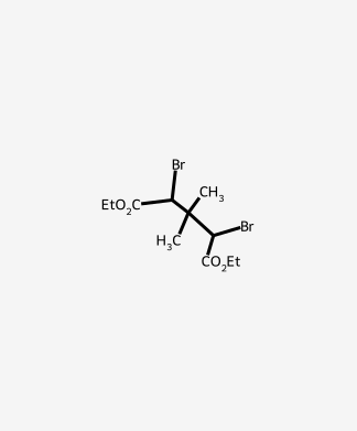 CCOC(=O)C(Br)C(C)(C)C(Br)C(=O)OCC